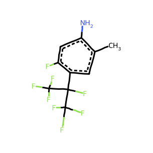 Cc1cc(C(F)(C(F)(F)F)C(F)(F)F)c(F)cc1N